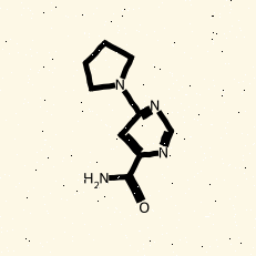 NC(=O)c1cc(N2CCCC2)ncn1